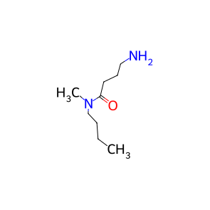 CCCCN(C)C(=O)CCCN